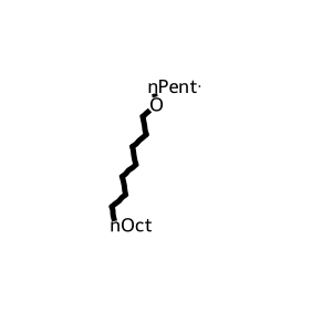 CCCC[CH]OCCCCCCCCCCCCCCC